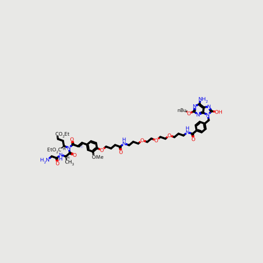 CCCCOc1nc(N)c2nc(O)n(Cc3ccc(C(=O)NCCCOCCOCCOCCCNC(=O)CCCOc4ccc(/C=C/C(=O)N(C(=O)[C@@H](C)NC(=O)CN)[C@H](CCC(=O)OCC)C(=O)OCC)cc4OC)cc3)c2n1